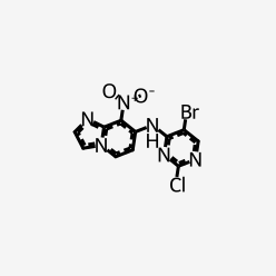 O=[N+]([O-])c1c(Nc2nc(Cl)ncc2Br)ccn2ccnc12